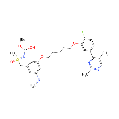 C=Nc1cc(CS(C)(=O)=NC(O)OC(C)(C)C)cc(OCCCCCOc2cc(-c3nc(C)ncc3C)ccc2F)c1